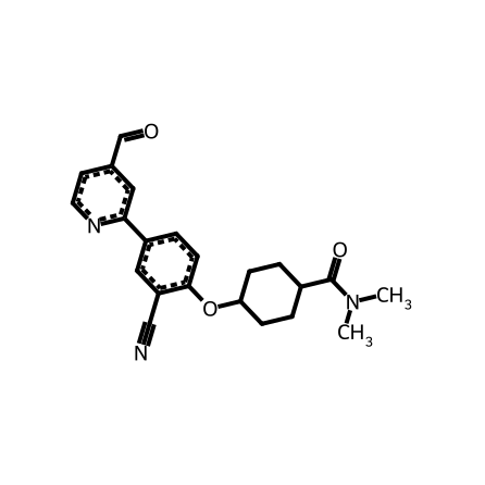 CN(C)C(=O)C1CCC(Oc2ccc(-c3cc(C=O)ccn3)cc2C#N)CC1